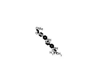 COCCC(=O)N1CCN(c2ccc(Nc3nccc(-c4ccc(NC(=O)CN(C)C)cc4)n3)cc2)CC1